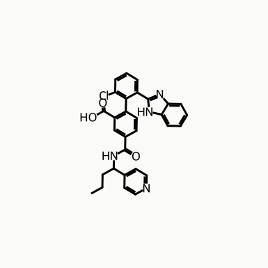 CCCC(NC(=O)c1ccc(-c2c(Cl)cccc2-c2nc3ccccc3[nH]2)c(C(=O)O)c1)c1ccncc1